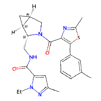 CCn1nc(C)cc1C(=O)NC[C@@H]1[C@H]2C[C@H]2CN1C(=O)c1nc(C)sc1-c1cccc(C)c1